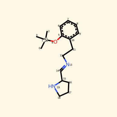 C[Si](C)(C)Oc1ccccc1CCN=CC1CCCN1